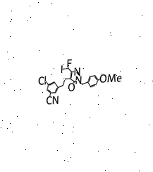 COc1ccc(Cn2cnc(C(F)I)c(CCc3cc(Cl)cc(C#N)c3)c2=O)cc1